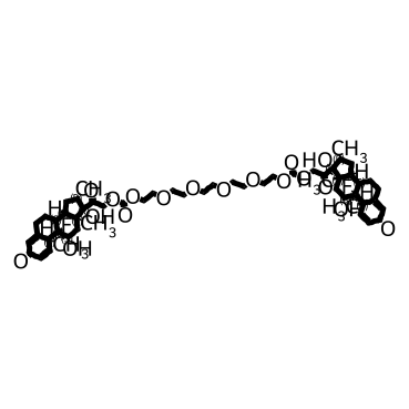 C[C@@H]1C[C@H]2[C@@H]3CCC4=CC(=O)C=C[C@]4(C)[C@@]3(F)[C@@H](O)C[C@]2(C)[C@@]1(O)C(=O)COC(=O)OCCOCCOCCOCCOCCOC(=O)OCC(=O)[C@@]1(O)[C@H](C)C[C@H]2[C@@H]3CCC4=CC(=O)C=C[C@]4(C)[C@@]3(F)[C@@H](O)C[C@@]21C